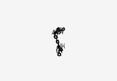 O=C(c1ccccc1)N1CCC[C@H]1c1ncc(-c2ccc(-c3ccc(-c4cnc([C@@H]5CCCN5C(=O)c5ccccc5)[nH]4)cc3)cc2)[nH]1